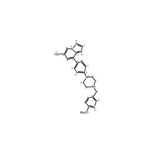 COc1ccc(CN2CCN(c3ccc(-c4cc(O)cn5ncnc45)cn3)CC2)cn1